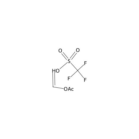 C=COC(C)=O.O=S(=O)(O)C(F)(F)F